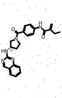 C=C(CC)C(=O)Nc1ccc(C(=O)N2CC[C@H](Nc3ncc4ccccc4n3)C2)cc1